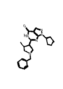 CC1CN(Cc2ccccc2)CC1c1nc2c(cnn2C2CCCC2)c(=O)[nH]1